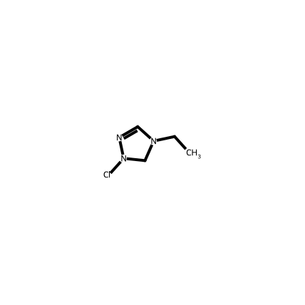 CCN1C=NN(Cl)C1